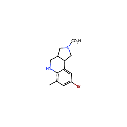 Cc1cc(Br)cc2c1NCC1CN(C(=O)O)CC21